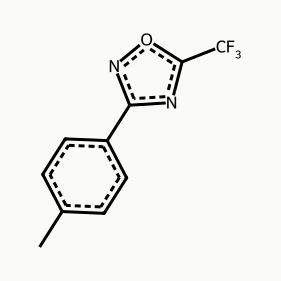 Cc1ccc(-c2noc(C(F)(F)F)n2)cc1